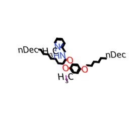 CCCCCCCCCCCCCCCCOc1ccc(OC(CCCCCCCCCCCCCCCC)C(=O)NCc2cccc[n+]2C)c(C)c1.[I-]